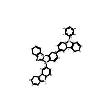 C1=CC2=C(CC1)NC1N(C3=CC4C5=C(C=CCC5)OC4C=C3)C3=C(CC(C4=CC5C6=C(C=CCC6)N(c6ccccc6)C5C=C4)C=C3)N21